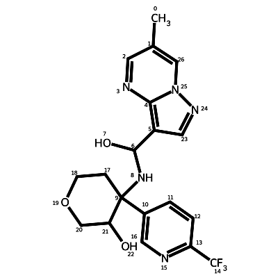 Cc1cnc2c(C(O)NC3(c4ccc(C(F)(F)F)nc4)CCOCC3O)cnn2c1